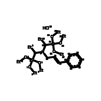 CCO[Si](OCC)(OCC)C(CC)N(CC=Cc1ccccc1)C(CC)[Si](OCC)(OCC)OCC.Cl